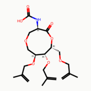 C=C(C)COC[C@H]1OC(=O)[C@H](NC(=O)O)COC[C@H](OCC(=C)C)[C@H]1OCC(=C)C